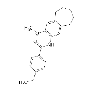 CCc1ccc(C(=O)Nc2cc3c(cc2OC)CCCCC3)cc1